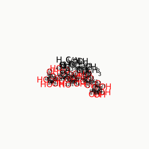 C[C@H](CC[C@@H](O[C@@H]1O[C@H](CO[C@@H]2O[C@H](CO)[C@@H](O)[C@H](O)[C@H]2O)[C@@H](O)[C@H](O)[C@H]1O[C@@H]1O[C@H](CO)[C@@H](O)[C@H](O)[C@H]1O)C(C)(C)O)C1CC[C@@]2(C)C3CC=C4C(CC[C@H](O[C@@H]5O[C@H](CCO[C@H]6O[C@H](CO)[C@@H](O)[C@H](O)[C@H]6O)[C@@H](O)[C@H](O)[C@H]5O)C4(C)C)[C@]3(C)C=C[C@]12C